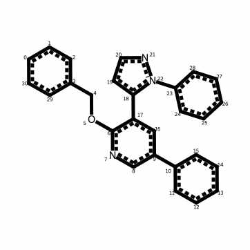 c1ccc(COc2ncc(-c3ccccc3)cc2-c2ccnn2-c2ccccc2)cc1